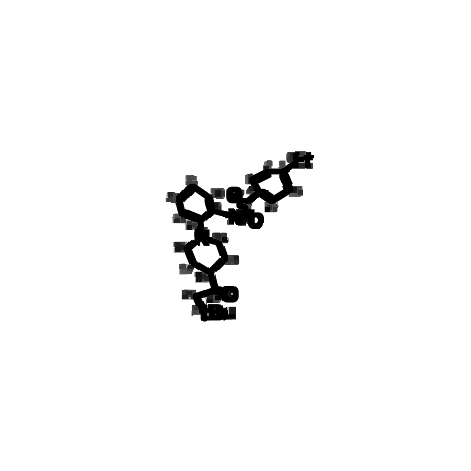 CCc1ccc(S(=O)(=O)Nc2ccccc2N2CCC(C(=O)CC(C)(C)C)CC2)cc1